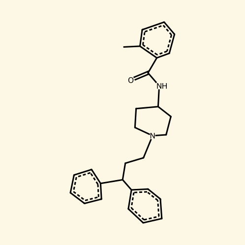 Cc1ccccc1C(=O)NC1CCN(CCC(c2ccccc2)c2ccccc2)CC1